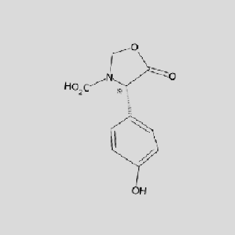 O=C1OCN(C(=O)O)[C@H]1c1ccc(O)cc1